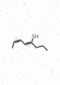 C/C=C\C=C(/S)CCC